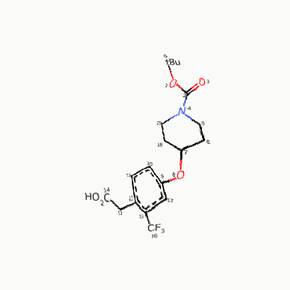 CC(C)(C)OC(=O)N1CCC(Oc2ccc(CC(=O)O)c(C(F)(F)F)c2)CC1